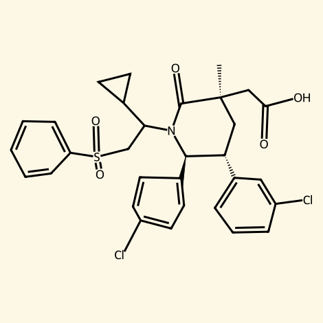 C[C@]1(CC(=O)O)C[C@H](c2cccc(Cl)c2)[C@@H](c2ccc(Cl)cc2)N(C(CS(=O)(=O)c2ccccc2)C2CC2)C1=O